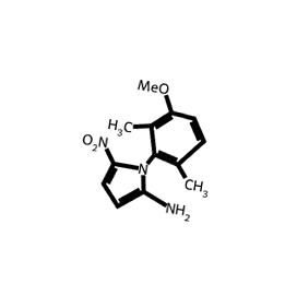 COc1ccc(C)c(-n2c(N)ccc2[N+](=O)[O-])c1C